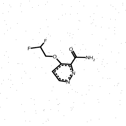 NC(=O)c1nnccc1OCC(F)F